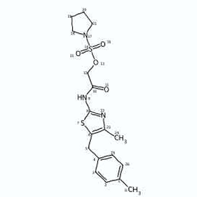 Cc1ccc(Cc2sc(NC(=O)COS(=O)(=O)N3CCCC3)nc2C)cc1